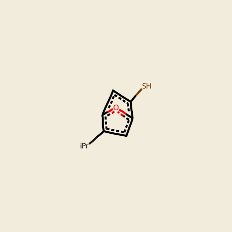 CC(C)c1cc2oc1cc2S